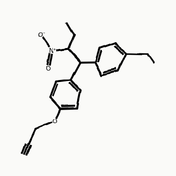 C#CCOc1ccc(C(c2ccc(CC)cc2)C(CC)[N+](=O)[O-])cc1